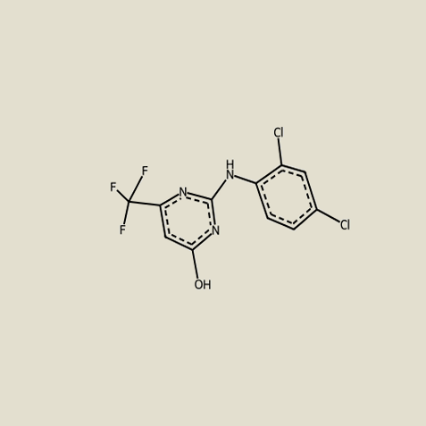 Oc1cc(C(F)(F)F)nc(Nc2ccc(Cl)cc2Cl)n1